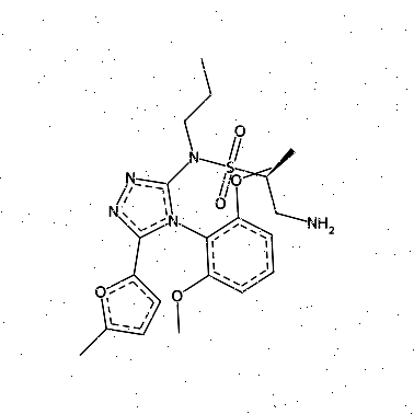 CCCN(c1nnc(-c2ccc(C)o2)n1-c1c(OC)cccc1OC)S(=O)(=O)[C@@H](C)CN